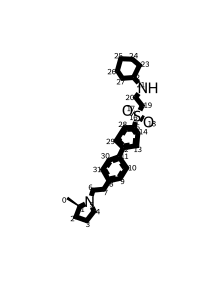 C[C@@H]1CCCN1CCc1ccc(-c2ccc(S(=O)(=O)CCNC3CCCCC3)cc2)cc1